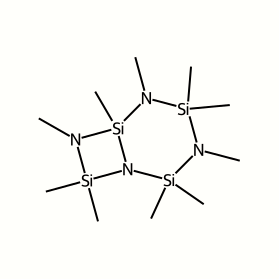 CN1[Si](C)(C)N(C)[Si]2(C)N(C)[Si](C)(C)N2[Si]1(C)C